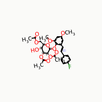 COc1cc(/C=C/c2ccc(F)cc2)c(O[C@@H]2O[C@H](COC(C)=O)[C@@H](O)[C@H](OC(C)=O)[C@H]2OC(C)=O)c(OC)c1